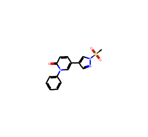 CS(=O)(=O)n1cc(-c2ccc(=O)n(-c3ccccc3)c2)cn1